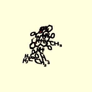 CC[C@@H](C(=O)N[C@H](C)C(=O)N[C@@H]1CCCC[C@@H]1[C@@H](CC)C(=O)N[C@H](Cc1ccccc1)C(=O)OC)[C@H]1CCCC[C@H]1NC(=O)OC(C)(C)C